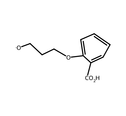 [O]CCCOc1ccccc1C(=O)O